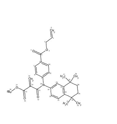 C=CCOC(=O)c1ccc(N(C(=O)C(=C)C(=O)OC(C)(C)C)c2ccc3c(c2)C(C)(C)CCC3(C)C)cc1